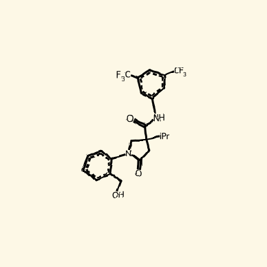 CC(C)C1(C(=O)Nc2cc(C(F)(F)F)cc(C(F)(F)F)c2)CC(=O)N(c2ccccc2CO)C1